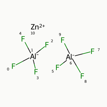 [F][Al-]([F])([F])[F].[F][Al-]([F])([F])[F].[Zn+2]